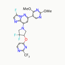 COc1ncc(-c2cc(N3CC(Oc4ccnc(C(F)(F)F)n4)C(F)(F)C3)c3ncc(F)n3n2)c(OC)n1